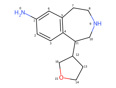 Nc1ccc2c(c1)CCNCC2C1CCOC1